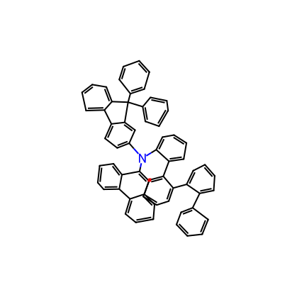 c1ccc(-c2ccccc2-c2ccccc2-c2ccccc2N(c2ccc3c(c2)C(c2ccccc2)(c2ccccc2)c2ccccc2-3)c2cc3ccccc3c3ccccc23)cc1